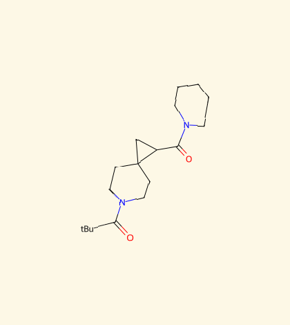 CC(C)(C)C(=O)N1CCC2(CC1)CC2C(=O)N1CCCCC1